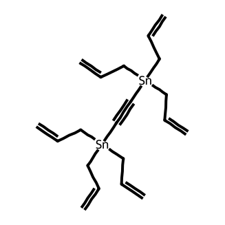 C=C[CH2][Sn]([C]#[C][Sn]([CH2]C=C)([CH2]C=C)[CH2]C=C)([CH2]C=C)[CH2]C=C